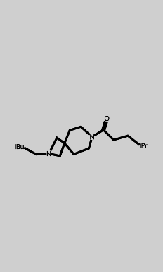 CCC(C)CN1CC2(CCN(C(=O)CCC(C)C)CC2)C1